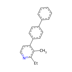 CCc1nccc(-c2ccc(-c3ccccc3)cc2)c1C